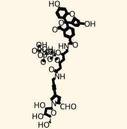 O=Cc1cc(C#CCNC(=O)CCCC(CNC(=O)c2ccc3c(c2)C(=O)OC32c3ccc(O)cc3Oc3cc(O)ccc32)OP(=O)(O)OP(=O)(O)OP(=O)(O)O)cn1[C@@H]1O[C@H](CO)[C@@H](O)[C@H]1O